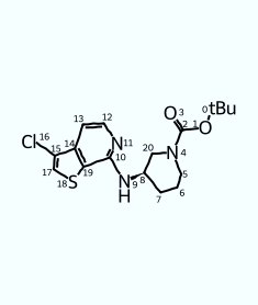 CC(C)(C)OC(=O)N1CCC[C@@H](Nc2nccc3c(Cl)csc23)C1